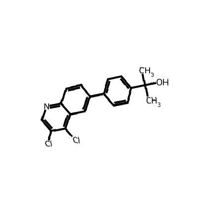 CC(C)(O)c1ccc(-c2ccc3ncc(Cl)c(Cl)c3c2)cc1